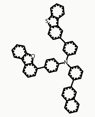 c1cc(-c2ccc3ccccc3c2)cc(N(c2ccc(-c3cccc4c3oc3ccccc34)cc2)c2cccc(-c3ccc4sc5ccccc5c4c3)c2)c1